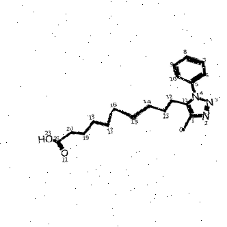 Cc1nnn(-c2ccccc2)c1CCCCCCCCCC(=O)O